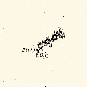 CCOC(=O)CC(C(=O)OCC)N1CCN(CC2CN(c3ccc(C(=N)NC(=O)CC)cc3)C(=O)O2)CC1